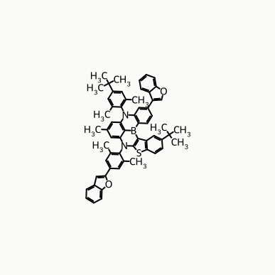 Cc1cc2c3c(c1)N(c1c(C)cc(-c4cc5ccccc5o4)cc1C)c1sc4ccc(C(C)(C)C)cc4c1B3c1ccc(-c3coc4ccccc34)cc1N2c1c(C)cc(C(C)(C)C)cc1C